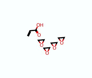 C1CO1.C1CO1.C1CO1.C1CO1.C=CC(=O)O